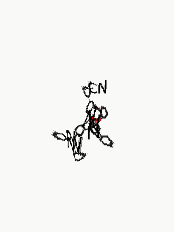 N#Cc1cccc(-c2ccc3c(c2)c2ccccc2n3-c2ccc(-c3nc(-c4ccccc4)nc(-c4ccccc4)n3)cc2-c2nc(-c3ccccc3)cc(-c3ccccc3)n2)c1